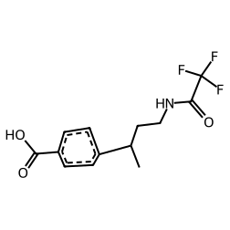 CC(CCNC(=O)C(F)(F)F)c1ccc(C(=O)O)cc1